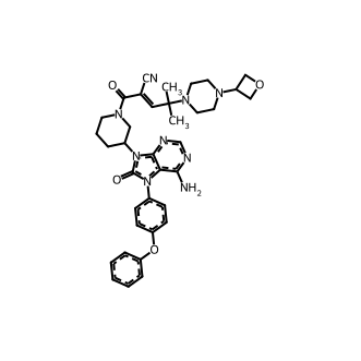 CC(C)(C=C(C#N)C(=O)N1CCCC(n2c(=O)n(-c3ccc(Oc4ccccc4)cc3)c3c(N)ncnc32)C1)N1CCN(C2COC2)CC1